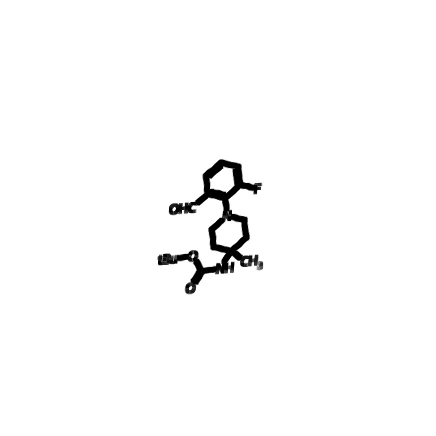 CC1(NC(=O)OC(C)(C)C)CCN(c2c(F)cccc2C=O)CC1